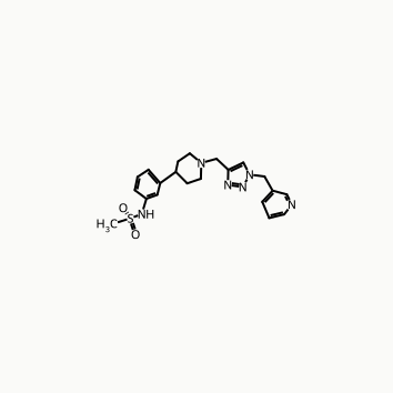 CS(=O)(=O)Nc1cccc(C2CCN(Cc3cn(Cc4cccnc4)nn3)CC2)c1